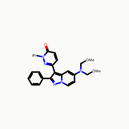 COCN(COC)c1ccn2nc(-c3ccccc3)c(-c3ccc(=O)n(C(C)C)n3)c2c1